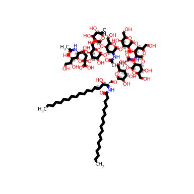 CCCCCCCCCCCCC/C=C/[C@@H](O)[C@H](CO[C@@H]1OC(CO)[C@@H](O[C@@H]2OC(CO)[C@H](O)[C@H](O[C@@H]3OC(CO)[C@@H](O[C@@H]4OC(CO)[C@H](O)[C@H](O[C@@H]5OC(CO)[C@@H](O[C@H]6OC(C)[C@@H](O)C(O)[C@@H]6O)[C@H](O[C@@H]6OC(CO)[C@H](O)[C@H](O[C@]7(C(=O)O)CC(O)[C@@H](NC(C)=O)C([C@H](O)[C@H](O)CO)O7)C6O)C5NC(C)=O)C4O)[C@H](O)C3NC(C)=O)C2O)[C@H](O)C1O)NC(=O)CCCCCCCCCCCCCCCCC